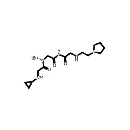 CC[C@@H](C)N(CC(=O)NC(=O)CNCCN1CCCC1)C(=O)CNC1CC1